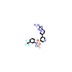 CN(c1cccc(C(F)(F)F)c1)S(=O)(=O)c1cncc(-c2ccc3nc(N)nn3c2)c1